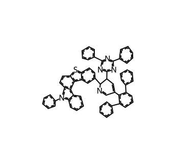 C1=NC(c2ccc3sc4ccc5c(c6ccccc6n5-c5ccccc5)c4c3c2)C(c2nc(-c3ccccc3)nc(-c3ccccc3)n2)C=C1c1c(-c2ccccc2)cccc1-c1ccccc1